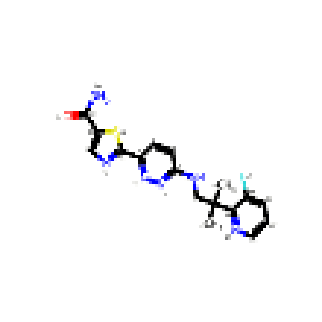 CC(C)(CNc1ccc(-c2ncc(C(N)=O)s2)nn1)c1ncccc1F